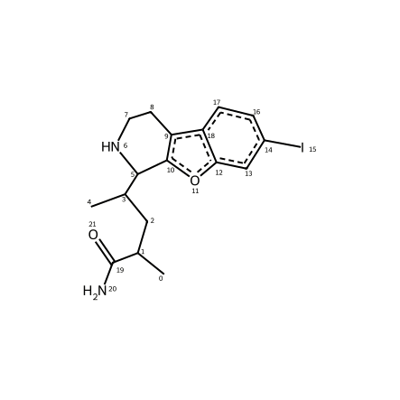 CC(CC(C)C1NCCc2c1oc1cc(I)ccc21)C(N)=O